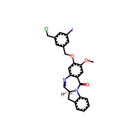 COc1cc2c(cc1OCc1cc(I)cc(CCl)c1)N=C[C@@H]1Cc3ccccc3N1C2=O